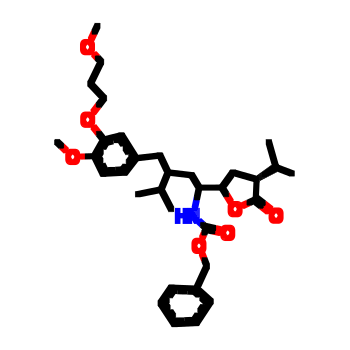 COCCCOc1cc(CC(CC(NC(=O)OCc2ccccc2)C2C[C@@H](C(C)C)C(=O)O2)C(C)C)ccc1OC